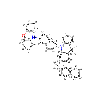 CC1(C)c2ccccc2N(c2ccc3cc(N4c5ccccc5Oc5ccccc54)ccc3c2)c2cc3c(cc21)-c1c(ccc2ccccc12)C3(C)C